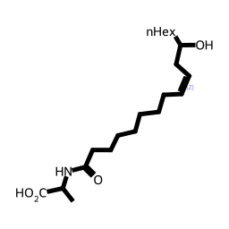 CCCCCCC(O)C/C=C\CCCCCCCC(=O)NC(C)C(=O)O